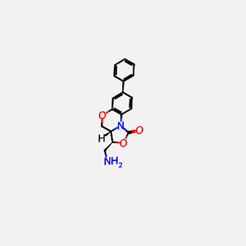 NC[C@@H]1OC(=O)N2c3ccc(-c4ccccc4)cc3OC[C@@H]12